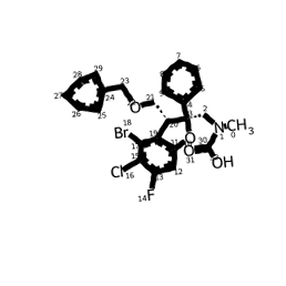 CN(C[C@]1(c2ccccc2)Oc2cc(F)c(Cl)c(Br)c2[C@@H]1COCc1ccccc1)C(=O)O